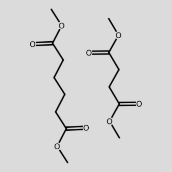 COC(=O)CCC(=O)OC.COC(=O)CCCCC(=O)OC